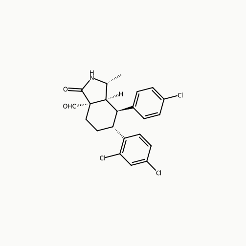 C[C@H]1NC(=O)[C@]2(C=O)CC[C@@H](c3ccc(Cl)cc3Cl)[C@H](c3ccc(Cl)cc3)[C@H]12